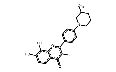 CC1CCCN(c2ccc(-c3oc4c(O)c(O)ccc4c(=O)c3F)cc2)C1